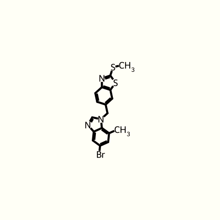 CSc1nc2ccc(Cn3cnc4cc(Br)cc(C)c43)cc2s1